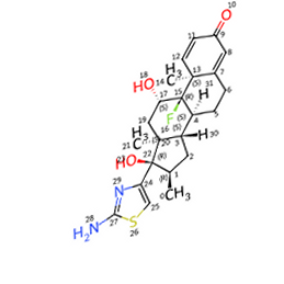 C[C@@H]1C[C@H]2[C@@H]3CCC4=CC(=O)C=C[C@]4(C)[C@@]3(F)[C@@H](O)C[C@]2(C)[C@@]1(O)c1csc(N)n1